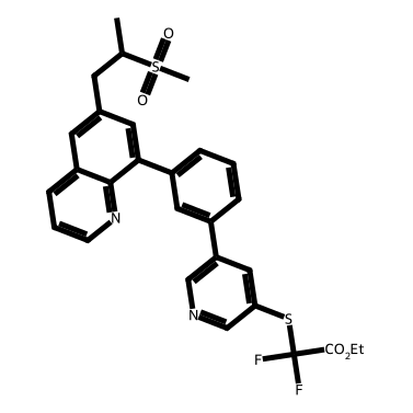 CCOC(=O)C(F)(F)Sc1cncc(-c2cccc(-c3cc(CC(C)S(C)(=O)=O)cc4cccnc34)c2)c1